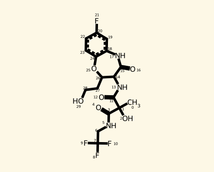 CC(O)(C(=O)NCC(F)(F)F)C(=O)NC1C(=O)Nc2cc(F)ccc2OC1CCO